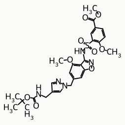 COC(=O)c1ccc(OC)c(S(=O)(=O)Nc2noc3cc(Cn4cc(CNC(=O)OC(C)(C)C)cn4)cc(OC)c23)c1